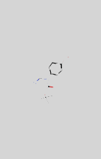 CC(C)(C)OC(=O)N(C=N)c1ccc(O)cc1